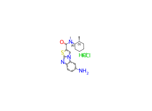 C[C@H]1CCCC[C@H]1N(C)C(=O)c1cn2c(nc3ccc(N)cc32)s1.Cl.Cl